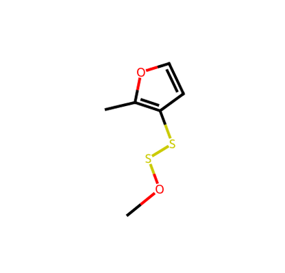 COSSc1ccoc1C